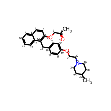 CC(=O)COc1ccc2ccccc2c1Cc1ccc(OCCN2CCC(C)CC2)cc1